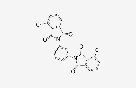 O=C1c2cccc(Cl)c2C(=O)N1c1cccc(N2C(=O)c3cccc(Cl)c3C2=O)c1